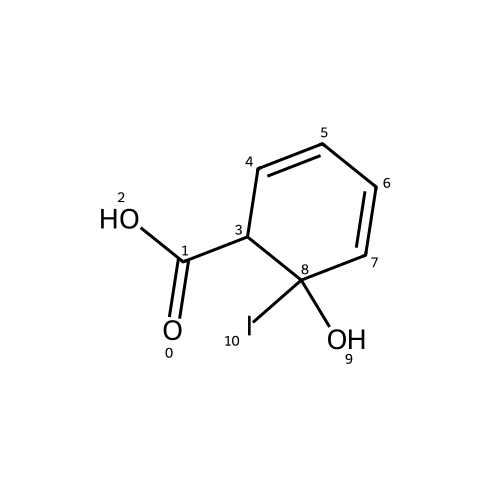 O=C(O)C1C=CC=CC1(O)I